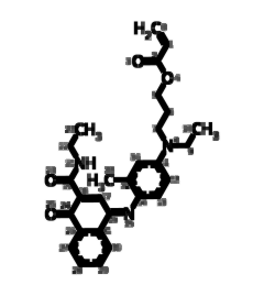 C=CC(=O)OCCCN(CC)c1ccc(N=C2C=C(C(=O)NCC)C(=O)c3ccccc32)c(C)c1